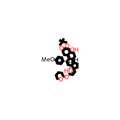 COc1ccc([C@H]2C[C@@]3(C)[C@@H](CC[C@@]3(O)/C=C\COC3CCCCO3)[C@@H]3CC[C@@]4(O)CC5(CCC4=C32)OCC(C)(C)CO5)cc1